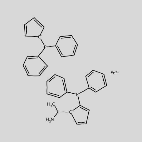 CC(N)[c-]1cccc1P(c1ccccc1)c1ccccc1.[Fe+2].c1ccc(P(c2ccccc2)[c-]2cccc2)cc1